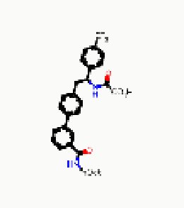 CCCCCCCCNC(=O)c1cccc(-c2ccc(CC(NC(=O)C(=O)O)c3ccc(C(F)(F)F)cc3)cc2)c1